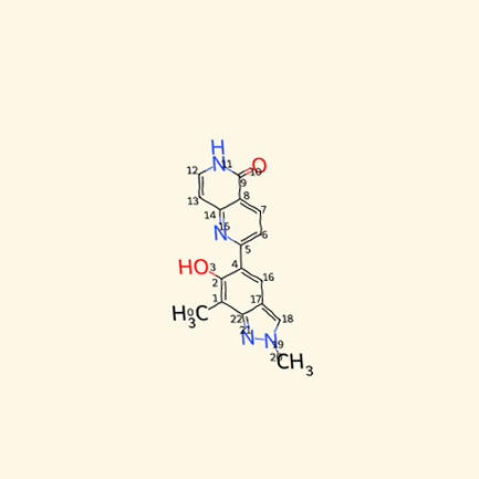 Cc1c(O)c(-c2ccc3c(=O)[nH]ccc3n2)cc2cn(C)nc12